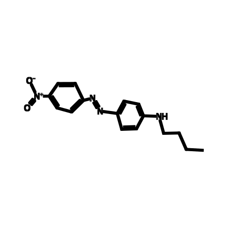 CCCCNc1ccc(N=Nc2ccc([N+](=O)[O-])cc2)cc1